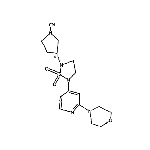 N#CN1CC[C@@H](N2CCN(c3ccnc(N4CCOCC4)c3)S2(=O)=O)C1